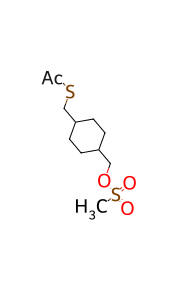 CC(=O)SCC1CCC(COS(C)(=O)=O)CC1